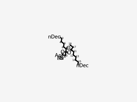 CC(=O)[O-].CCCCCCCCCCCCCCCC1(OC2(CCCCCCCCCCCCCCC)CCO2)CCO1.[Na+]